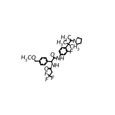 C=C(N1CCCC1)C(C)(C)c1ccc(NC(=O)C(NC(=O)CC(F)(F)F)c2ccc(COC)cc2)cc1F